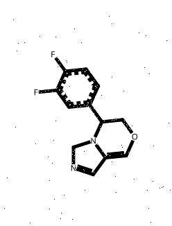 Fc1ccc(C2COC=C3C=NCN32)cc1F